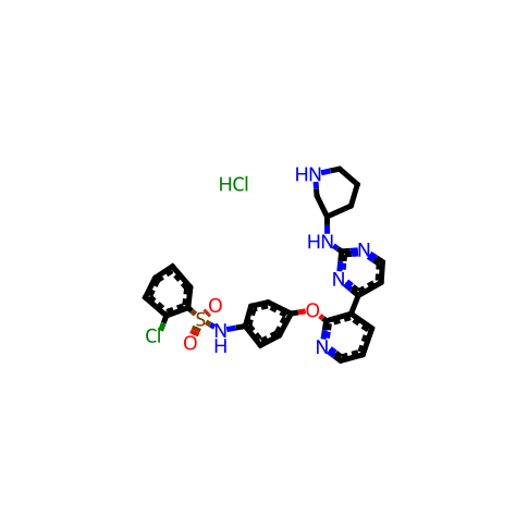 Cl.O=S(=O)(Nc1ccc(Oc2ncccc2-c2ccnc(NC3CCCNC3)n2)cc1)c1ccccc1Cl